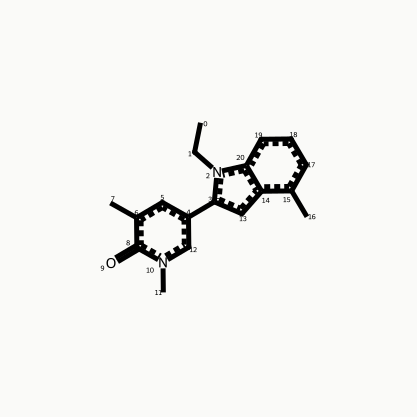 CCn1c(-c2cc(C)c(=O)n(C)c2)cc2c(C)cccc21